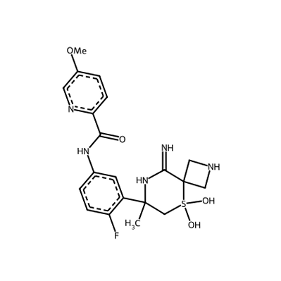 COc1ccc(C(=O)Nc2ccc(F)c(C3(C)CS(O)(O)C4(CNC4)C(=N)N3)c2)nc1